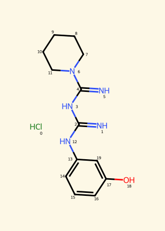 Cl.N=C(NC(=N)N1CCCCC1)Nc1cccc(O)c1